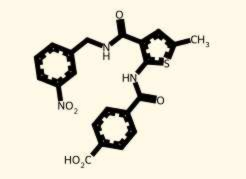 Cc1cc(C(=O)NCc2cccc([N+](=O)[O-])c2)c(NC(=O)c2ccc(C(=O)O)cc2)s1